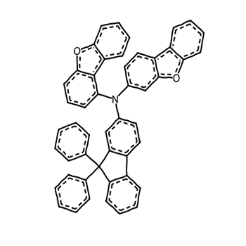 c1ccc(C2(c3ccccc3)c3ccccc3-c3ccc(N(c4ccc5c(c4)oc4ccccc45)c4cccc5oc6ccccc6c45)cc32)cc1